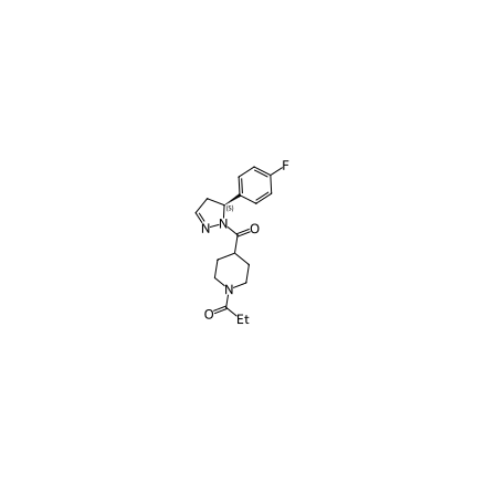 CCC(=O)N1CCC(C(=O)N2N=CC[C@H]2c2ccc(F)cc2)CC1